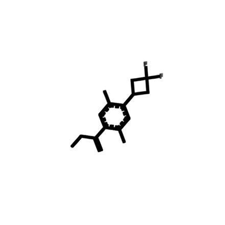 C=C(CC)c1cc(C)c(C2CC(F)(F)C2)cc1C